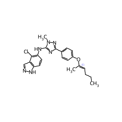 CCC/C=C(\C)Oc1ccc(-c2nc(Nc3ccc4[nH]ncc4c3Cl)n(C)n2)cc1